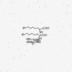 CC(C)CCCCCC(S)C(=O)[O-].CC(C)CCCCCC(S)C(=O)[O-].CCC[CH2][Sn+2][CH2]CCC.CCC[CH2][Sn+2][CH2]CCC.[S-2]